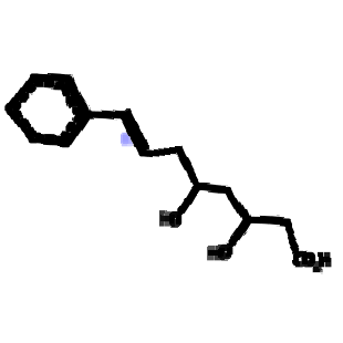 O=C(O)CC(O)CC(O)C/C=C/c1ccccc1